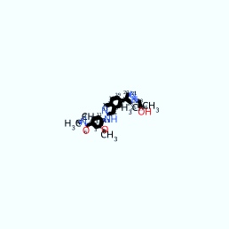 COc1cc(C(=O)N(C)C)ccc1Nc1cc2cc(-c3cnn(CC(C)(C)O)c3)ccc2cn1